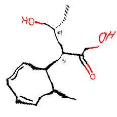 CC1C=CC=CC1[C@H](C(=O)O)[C@@H](C)O